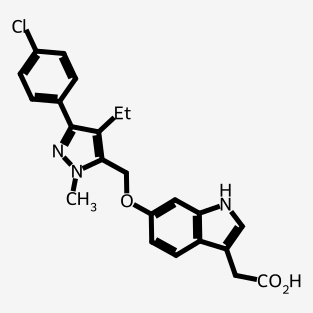 CCc1c(-c2ccc(Cl)cc2)nn(C)c1COc1ccc2c(CC(=O)O)c[nH]c2c1